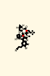 CSc1nc2c(F)c(Br)c(CCC#N)cc2c(N[C@H]2[C@@H]3C[C@H]2N(C(=O)OC(C)(C)C)C3)c1C#C[C@H]1C[C@H]2C[C@H]2N1C(=O)OCC[Si](C)(C)C